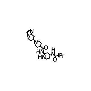 CC(C)C(=O)NC1CCNC(NC(=O)C2CCN(C3CCn4ccnc4C3)CC2)C1